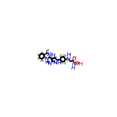 C[C@@H](Nc1ncnc2[nH]c(-c3ccc(NCC(=O)NO)cc3)cc12)c1ccccc1